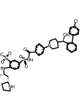 CC[C@@H](C[C@H]1CCCN1)Nc1ccc(S(=O)(=O)NC(=O)c2ccc(N3CCC([C@@H](O)c4ccccc4-c4ccc(Cl)cc4)CC3)cc2)cc1S(=O)(=O)C(F)(F)F